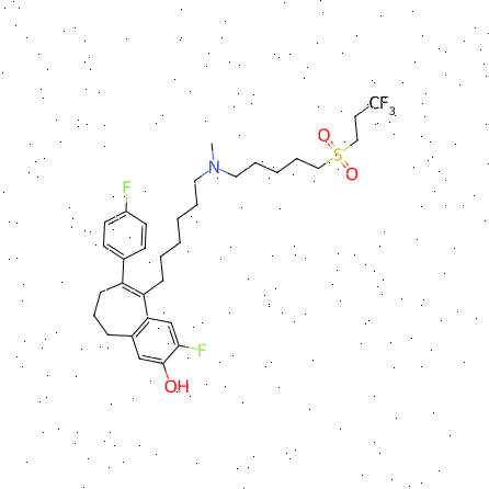 CN(CCCCCCC1=C(c2ccc(F)cc2)CCCc2cc(O)c(F)cc21)CCCCCS(=O)(=O)CCC(F)(F)F